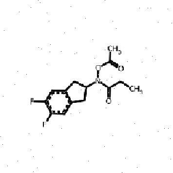 CCC(=O)N(OC(C)=O)C1Cc2cc(F)c(F)cc2C1